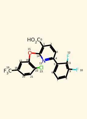 O=C(O)c1ccc(-c2cccc(F)c2F)nc1Oc1cc(C(F)(F)F)ccc1Cl